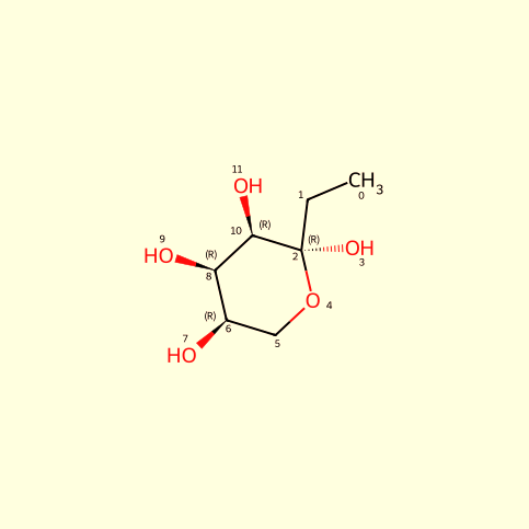 CC[C@@]1(O)OC[C@@H](O)[C@@H](O)[C@H]1O